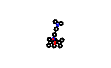 c1ccc2c(c1)-c1ccccc1C21c2ccccc2-c2cccc(N(c3ccc(-c4ccc(-n5c6ccccc6c6ccccc65)cc4)cc3)c3ccc4c5ccccc5c5ccccc5c4c3)c21